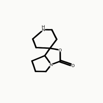 O=C1OC2(CCNCC2)C2CCCN12